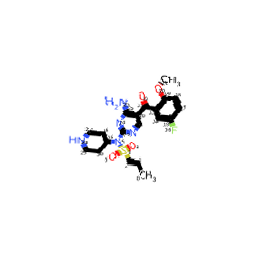 CCCS(=O)(=O)N(c1ncc(C(=O)c2cc(F)ccc2OC)c(N)n1)C1CCNCC1